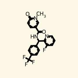 Cn1cc(C(=O)NC(c2ccc(C(F)(F)F)cc2)c2ncccc2F)ccc1=O